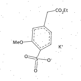 CCOC(=O)Cc1ccc(S(=O)(=O)[O-])c(OC)c1.[K+]